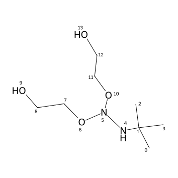 CC(C)(C)NN(OCCO)OCCO